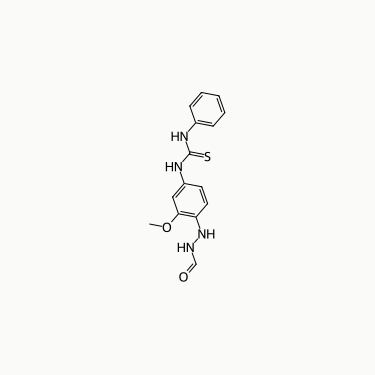 COc1cc(NC(=S)Nc2ccccc2)ccc1NNC=O